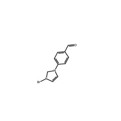 O=Cc1ccc(N2C=CN(Br)C2)cc1